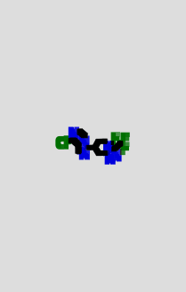 FC(F)(F)c1nnc2n1CCC(c1ncc3c(Cl)nccn13)C2